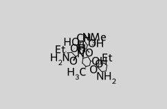 CC[C@@H]1CCC(N)[C@@H](OC2C(O)C(O[C@H]3OCC(C)(O)[C@H](NC)C3O)[C@H](NC(=O)[C@@H](O)[C@H](N)CC)C[C@@H]2C)O1